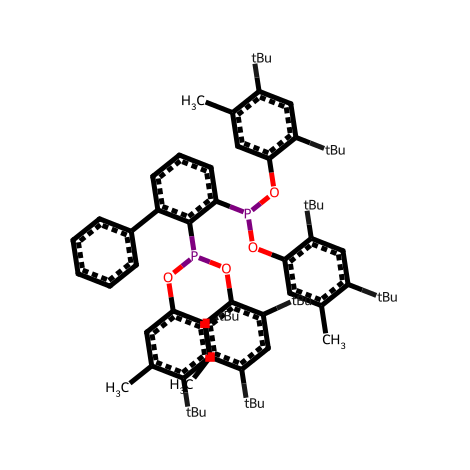 Cc1cc(OP(Oc2cc(C)c(C(C)(C)C)cc2C(C)(C)C)c2cccc(-c3ccccc3)c2P(Oc2cc(C)c(C(C)(C)C)cc2C(C)(C)C)Oc2cc(C)c(C(C)(C)C)cc2C(C)(C)C)c(C(C)(C)C)cc1C(C)(C)C